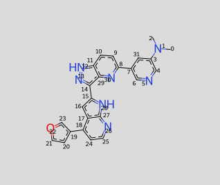 CN(C)c1cncc(-c2ccc3[nH]nc(-c4cc5c(-c6ccoc6)ccnc5[nH]4)c3n2)c1